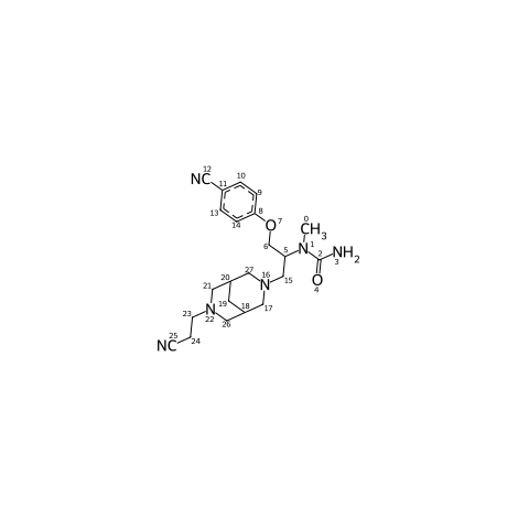 CN(C(N)=O)C(COc1ccc(C#N)cc1)CN1CC2CC(CN(CCC#N)C2)C1